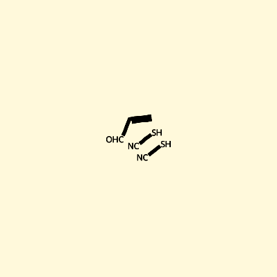 C=CC=O.N#CS.N#CS